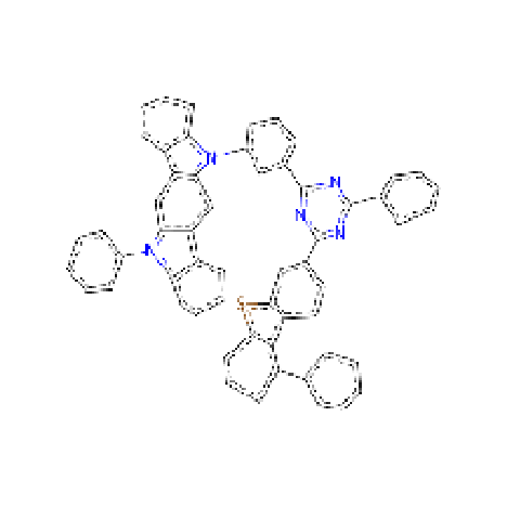 c1ccc(-c2nc(-c3cccc(-n4c5ccccc5c5cc6c(cc54)c4ccccc4n6-c4ccccc4)c3)nc(-c3ccc4c(c3)sc3cccc(-c5ccccc5)c34)n2)cc1